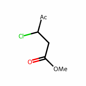 COC(=O)CC(Cl)C(C)=O